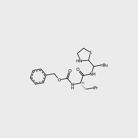 CCCCC(NC(=O)[C@H](CC(C)C)NC(=O)OCc1ccccc1)C1NCCS1